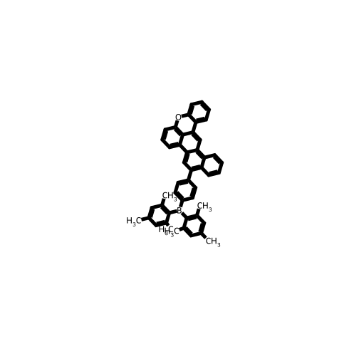 Cc1cc(C)c(B(c2ccc(-c3cc4c5cccc6c5c(cc4c4ccccc34)-c3ccccc3O6)cc2)c2c(C)cc(C)cc2C)c(C)c1